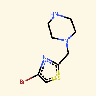 Brc1csc(CN2CCNCC2)n1